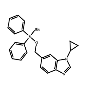 CC(C)(C)[Si](OCc1ccc2ncn(C3CC3)c2c1)(c1ccccc1)c1ccccc1